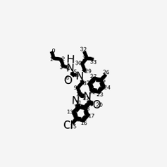 CCCCNC(=O)N(CCc1nc2cc(Cl)ccc2c(=O)n1-c1ccc(C)cc1)CCC(C)C